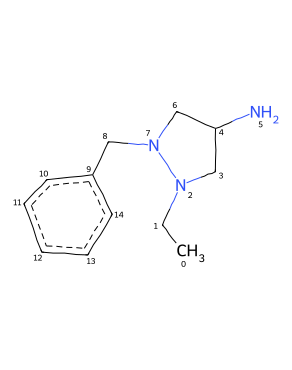 CCN1CC(N)CN1Cc1ccccc1